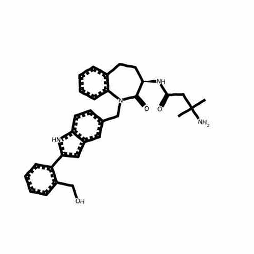 CC(C)(N)CC(=O)N[C@@H]1CCc2ccccc2N(Cc2ccc3[nH]c(-c4ccccc4CO)cc3c2)C1=O